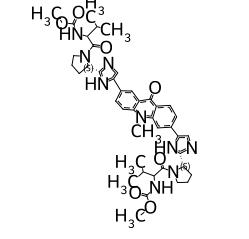 COC(=O)NC(C(=O)N1CCC[C@H]1c1ncc(-c2ccc3c(c2)c(=O)c2ccc(-c4cnc([C@@H]5CCCN5C(=O)C(NC(=O)OC)C(C)C)[nH]4)cc2n3C)[nH]1)C(C)C